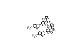 CCC(c1cccs1)c1c(O)cc(C(Cc2ccc(C(F)(F)F)cc2)CC2CC2)oc1=O.CCC(c1cccs1)c1c(O)cc(C(Cc2ccc(C(F)(F)F)cc2)CC2CC2)oc1=O